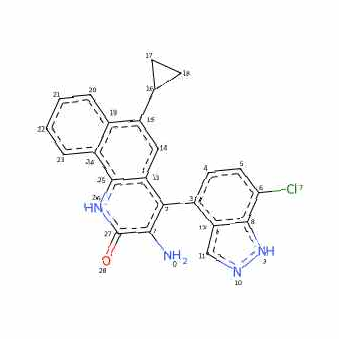 Nc1c(-c2ccc(Cl)c3[nH]ncc23)c2cc(C3CC3)c3ccccc3c2[nH]c1=O